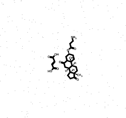 C[C@]12CC[C@H](OC(=O)CCN)CC1C(=O)C[C@@H]1[C@@H]2CC[C@]2(C)C(=O)CC[C@@H]12.O=C(O)/C=C/C(=O)O